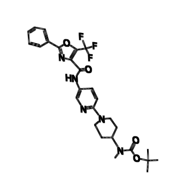 CN(C(=O)OC(C)(C)C)C1CCN(c2ccc(NC(=O)c3nc(-c4ccccc4)oc3C(F)(F)F)cn2)CC1